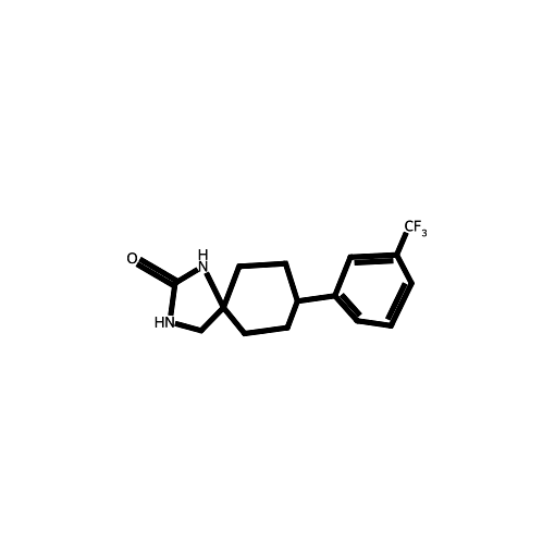 O=C1NCC2(CCC(c3cccc(C(F)(F)F)c3)CC2)N1